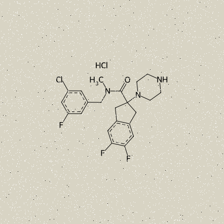 CN(Cc1cc(F)cc(Cl)c1)C(=O)C1(N2CCNCC2)Cc2cc(F)c(F)cc2C1.Cl